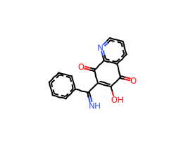 N=C(C1=C(O)C(=O)c2cccnc2C1=O)c1ccccc1